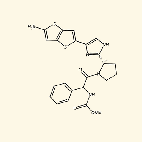 Bc1cc2sc(-c3c[nH]c([C@@H]4CCCN4C(=O)C(NC(=O)OC)c4ccccc4)n3)cc2s1